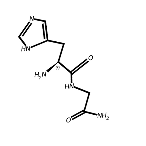 NC(=O)CNC(=O)[C@@H](N)Cc1cnc[nH]1